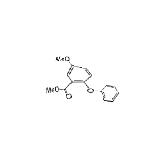 COC(=O)c1cc(OC)ccc1Oc1ccccc1